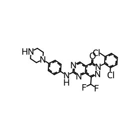 O=c1c2cnc(Nc3ccc(N4CCNCC4)cc3)nc2c(C(F)F)nn1-c1c(Cl)cccc1Cl